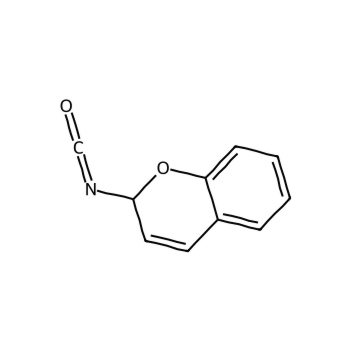 O=C=NC1C=Cc2ccccc2O1